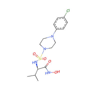 CC(C)[C@@H](NS(=O)(=O)N1CCN(c2ccc(Cl)cc2)CC1)C(=O)NO